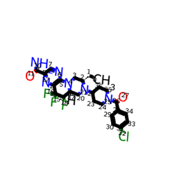 CC[C@H]1CN2c3ncc(C(N)=O)nc3C(F)(F)C(F)[C@@H]2CN1C1CCN(C(=O)c2ccc(Cl)cc2)CC1